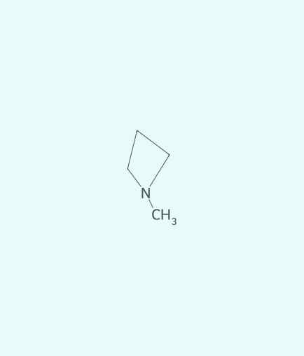 CN1CCC1